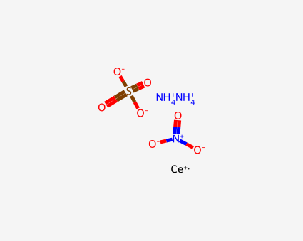 O=S(=O)([O-])[O-].O=[N+]([O-])[O-].[Ce+].[NH4+].[NH4+]